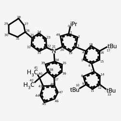 CC(C)c1cc(-c2cc(-c3cc(C(C)(C)C)cc(C(C)(C)C)c3)cc(C(C)(C)C)c2)cc(N(c2ccc(C3CCCCC3)cc2)c2ccc3c(c2)C(C)(C)c2ccccc2-3)c1